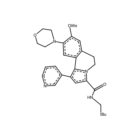 COc1cc2c(cc1N1CCOCC1)-c1c(-c3cccnc3)cc(C(=O)NCC(C)(C)C)n1CC2